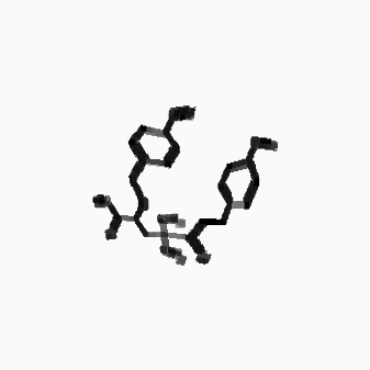 COc1ccc(CCC(=O)C(C)(C)CC(OCc2ccc(OC)cc2)C(=O)C(C)(C)C)cc1